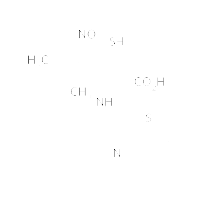 CC(C)(N=O)C(S)(Nc1nccs1)C(=O)O